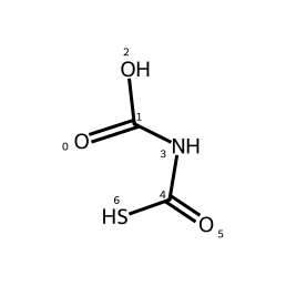 O=C(O)NC(=O)S